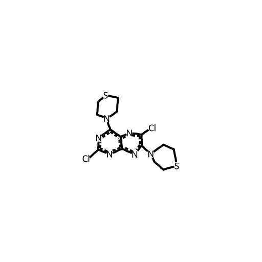 Clc1nc(N2CCSCC2)c2nc(Cl)c(N3CCSCC3)nc2n1